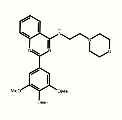 COc1cc(-c2nc(NCCN3CCOCC3)c3ccccc3n2)cc(OC)c1OC